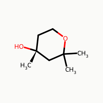 CC1(C)C[C@](C)(O)CCO1